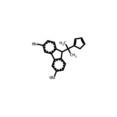 CC(C)(C)c1ccc2c(c1)-c1cc(C(C)(C)C)ccc1C2C(C)(C)C1=CC=CC1